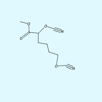 COC(=O)C(CCCCOC#N)OC#N